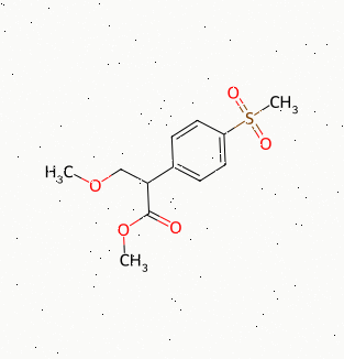 COCC(C(=O)OC)c1ccc(S(C)(=O)=O)cc1